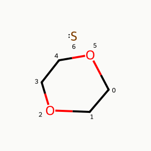 C1COCCO1.[S]